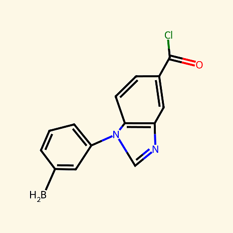 Bc1cccc(-n2cnc3cc(C(=O)Cl)ccc32)c1